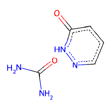 NC(N)=O.O=c1cccn[nH]1